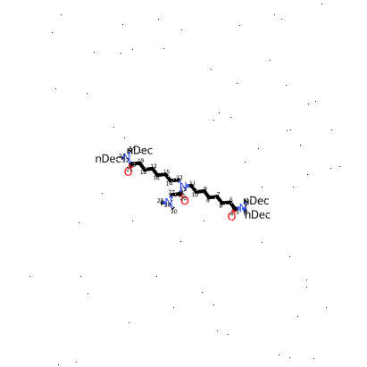 CCCCCCCCCCN(CCCCCCCCCC)C(=O)CCCCCCCN(CCCCCCCC(=O)N(CCCCCCCCCC)CCCCCCCCCC)C(=O)CN(C)C